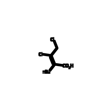 CCCCC(C(=O)O)=C(Cl)CCl